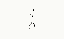 CC(C)(C)NC(=O)OCc1cc[nH]c(=O)c1